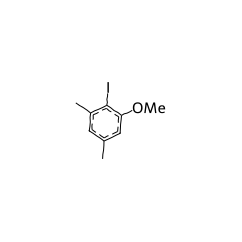 COc1cc(C)cc(C)c1I